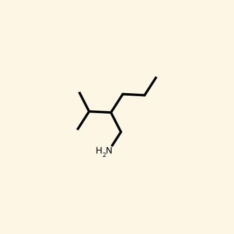 CCCC(CN)C(C)C